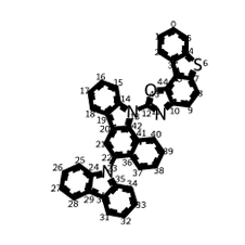 c1ccc2c(c1)sc1ccc3nc(-n4c5ccccc5c5cc(-n6c7ccccc7c7ccccc76)c6ccccc6c54)oc3c12